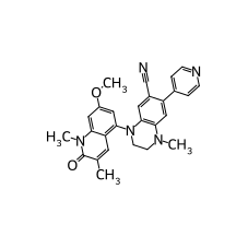 COc1cc(N2CCN(C)c3cc(-c4ccncc4)c(C#N)cc32)c2cc(C)c(=O)n(C)c2c1